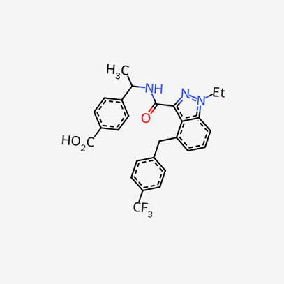 CCn1nc(C(=O)NC(C)c2ccc(C(=O)O)cc2)c2c(Cc3ccc(C(F)(F)F)cc3)cccc21